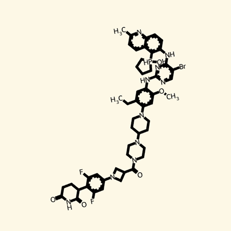 CCc1cc(Nc2ncc(Br)c(Nc3ccc4nc(C)ccc4c3[PH]3(O)CCCC3)n2)c(OC)cc1N1CCC(N2CCN(C(=O)C3CN(c4cc(F)c(C5CCC(=O)NC5=O)c(F)c4)C3)CC2)CC1